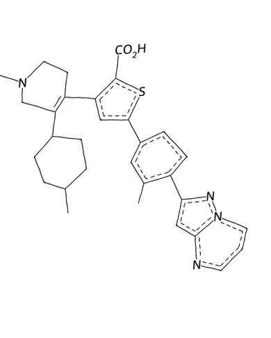 Cc1cc(-c2cc(C3=C(C4CCC(C)CC4)CN(C)CC3)c(C(=O)O)s2)ccc1-c1cc2ncccn2n1